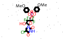 COc1ccc(OP(=O)(OC[C@@]2(C(F)F)O[C@@H](n3cc(Cl)c(=O)[nH]c3=O)[C@H](O)C2(F)F)Oc2ccc(OC)cc2)cc1